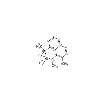 Cc1ccc2cccc3c2c1C(C)C1(C)SC31C